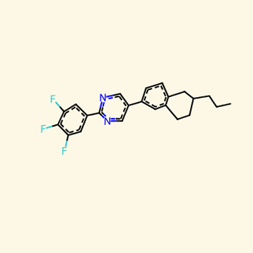 CCCC1CCc2cc(-c3cnc(-c4cc(F)c(F)c(F)c4)nc3)ccc2C1